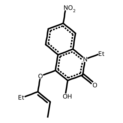 CC=C(CC)Oc1c(O)c(=O)n(CC)c2cc([N+](=O)[O-])ccc12